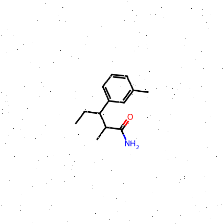 CCC(c1cccc(C)c1)C(C)C(N)=O